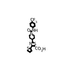 O=C(O)c1sc(C2CCN(C(=O)Nc3ccc(C(F)(F)F)cc3)CC2)nc1-c1cccs1